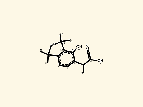 CC(C(=O)O)c1ccc(C(C)(C)C)c(C(C)(C)C)c1O